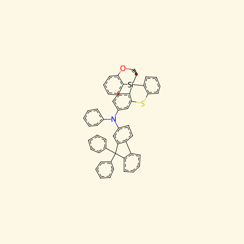 c1ccc(N(c2ccc3c(c2)Sc2ccccc2[Si]32c3ccccc3Oc3ccccc32)c2ccc3c(c2)C(c2ccccc2)(c2ccccc2)c2ccccc2-3)cc1